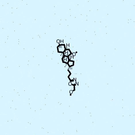 COCc1nnc(CCC[C@H]2CC[C@H]3[C@@H]4[C@H](OC)C[C@@H]5C[C@H](O)CC[C@]5(C)[C@H]4CC[C@]23C)o1